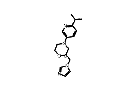 CC(C)c1ccc(N2CCO[C@H](Cn3ccnc3)C2)cn1